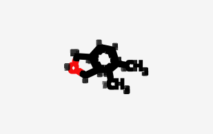 Cc1ccc2c(c1C)COC2